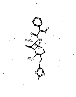 CO[C@@]1(NC(=O)C(=S=O)c2ccccc2)C(=O)N2C(C(=O)O)=C(CSc3nnc(C)s3)CS[C@@H]21